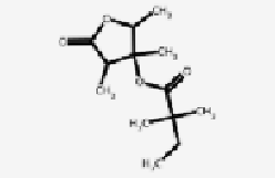 CCC(C)(C)C(=O)OC1(C)C(C)OC(=O)C1C